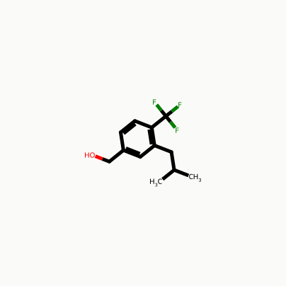 CC(C)Cc1cc(CO)ccc1C(F)(F)F